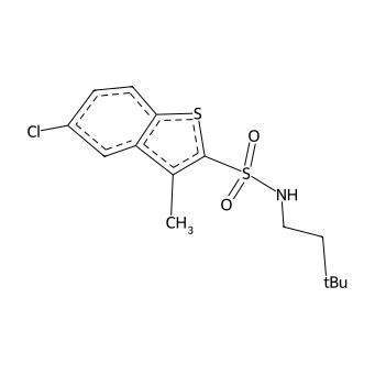 Cc1c(S(=O)(=O)NCCC(C)(C)C)sc2ccc(Cl)cc12